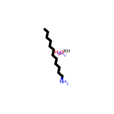 CCCCCCCCCCCCN.N.O.[KH]